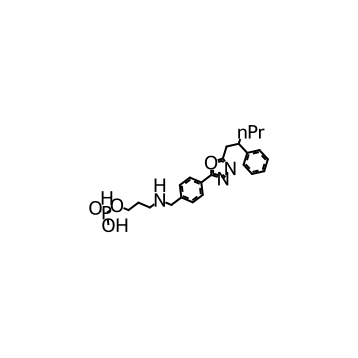 CCCC(Cc1nnc(-c2ccc(CNCCCO[PH](=O)O)cc2)o1)c1ccccc1